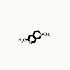 Cc1cc2c(cn1)CN(C)CC2